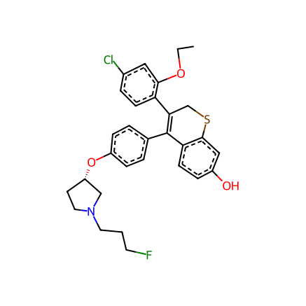 CCOc1cc(Cl)ccc1C1=C(c2ccc(O[C@H]3CCN(CCCF)C3)cc2)c2ccc(O)cc2SC1